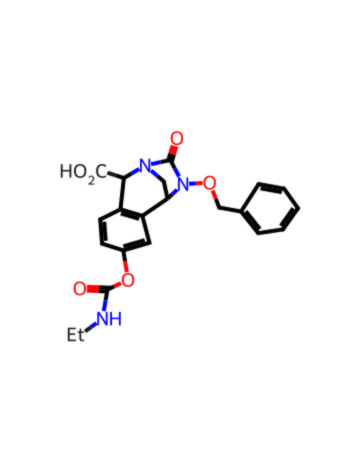 CCNC(=O)Oc1ccc2c(c1)C1CN(C(=O)N1OCc1ccccc1)C2C(=O)O